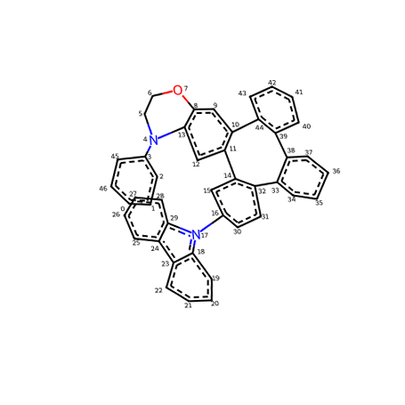 c1ccc(N2CCOc3cc4c(cc32)-c2cc(-n3c5ccccc5c5ccccc53)ccc2-c2ccccc2-c2ccccc2-4)cc1